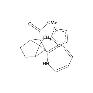 COC(=O)C1(c2ncco2)CC2CCC1C2(C)C1=CC=CC=CN1